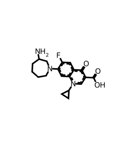 NC1CCCCN(c2cc3c(cc2F)c(=O)c(C(=O)O)cn3C2CC2)C1